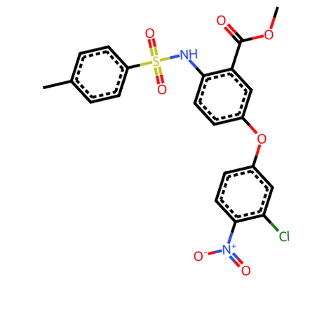 COC(=O)c1cc(Oc2ccc([N+](=O)[O-])c(Cl)c2)ccc1NS(=O)(=O)c1ccc(C)cc1